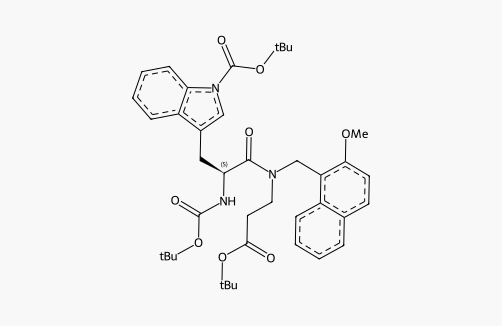 COc1ccc2ccccc2c1CN(CCC(=O)OC(C)(C)C)C(=O)[C@H](Cc1cn(C(=O)OC(C)(C)C)c2ccccc12)NC(=O)OC(C)(C)C